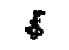 CC[C@H]1C2CCCCCC1C1CCCCCC1C1CCCCCC(C1)C1CCC(C(=O)NCCCC(=O)OC)CC2C1